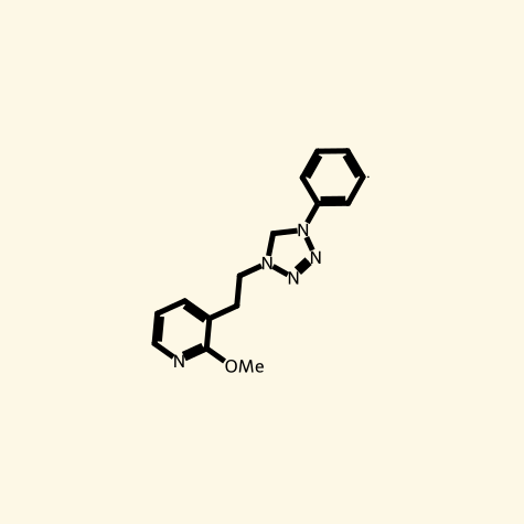 COc1ncccc1CCN1CN(c2c[c]ccc2)N=N1